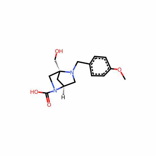 COc1ccc(CN2C[C@@H]3C[C@@]2(CO)CN3C(=O)O)cc1